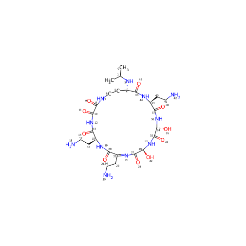 CC(C)N[C@H]1CCNC(=O)C(=O)NC(=O)[C@H](CCN)NC(=O)/C(CCN)=N\C(=O)[C@H](O)NC(=O)[C@@H](O)NC(=O)[C@H](CCN)NC1=O